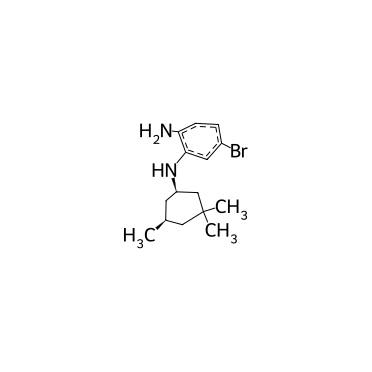 C[C@H]1C[C@@H](Nc2cc(Br)ccc2N)CC(C)(C)C1